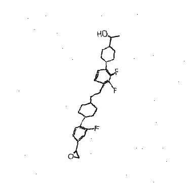 CC(O)C1CCC(c2ccc(CCC3CCC(c4ccc(C5CO5)cc4F)CC3)c(F)c2F)CC1